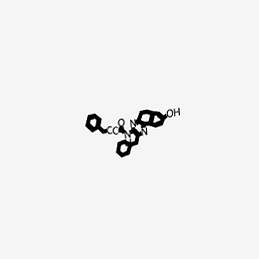 O=C(CCCc1ccccc1)Nc1nc2c(nc1CC1CCCCC1)-c1ccc(O)cc1CC2